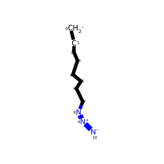 [CH2]CCCCCCCN=[N+]=[N-]